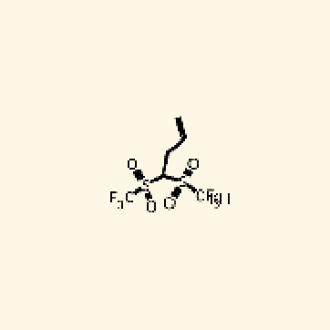 C=CCC(S(=O)(=O)C(F)(F)F)S(=O)(=O)C(F)(F)F.[KH]